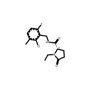 CCN1C(=O)CC[C@H]1C(=O)NCc1c(F)ccc(C)c1Cl